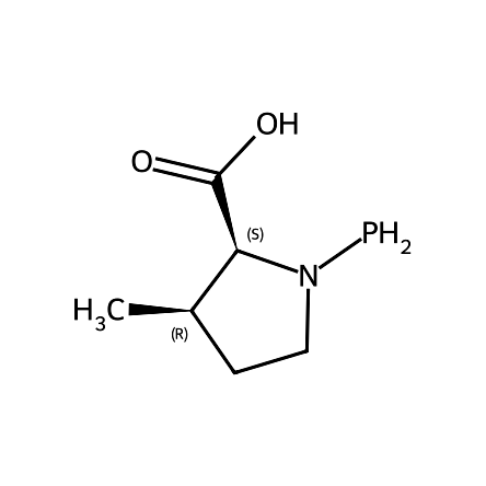 C[C@@H]1CCN(P)[C@@H]1C(=O)O